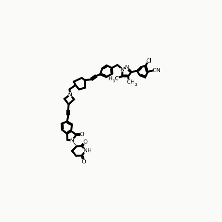 Cc1c(-c2ccc(C#N)c(Cl)c2)nn(Cc2ccc(C#CC3CCC(CN4CC(C#Cc5ccc6c(c5)C(=O)N([C@H]5CCC(=O)NC5=O)C6)C4)CC3)cc2)c1C